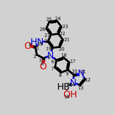 O=C1CC(=O)N(c2ccc(-c3nccn3BO)cc2)c2ccc3ccccc3c2N1